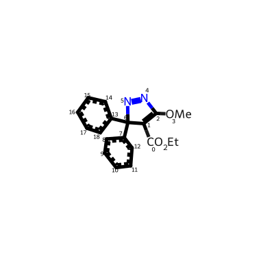 CCOC(=O)C1=C(OC)N=NC1(c1ccccc1)c1ccccc1